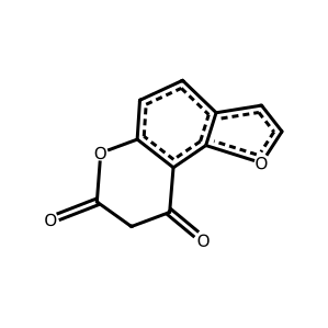 O=C1CC(=O)c2c(ccc3ccoc23)O1